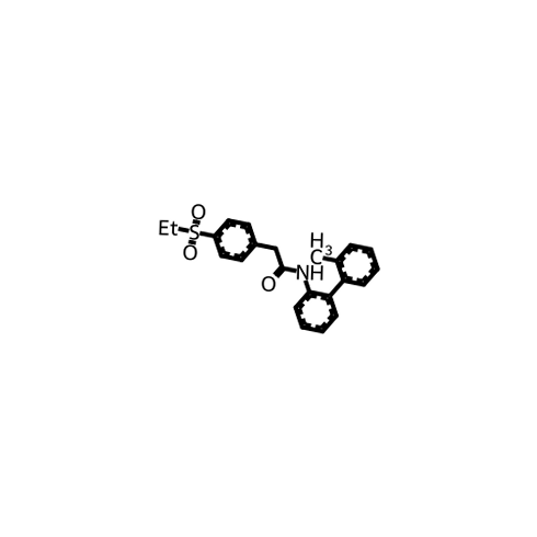 CCS(=O)(=O)c1ccc(CC(=O)Nc2ccccc2-c2ccccc2C)cc1